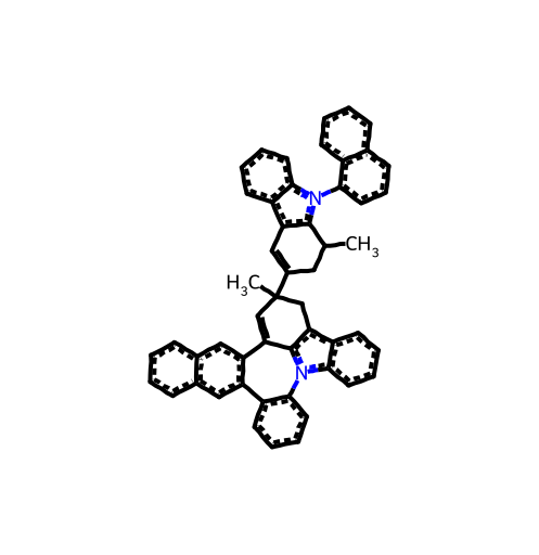 CC1CC(C2(C)C=C3c4cc5ccccc5cc4-c4ccccc4-n4c3c(c3ccccc34)C2)=Cc2c1n(-c1cccc3ccccc13)c1ccccc21